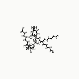 CCCCCCCC(CCCCCC)N1C[C@@H](COP(=O)(C(C)CCCCCCC)N(C)C)O[C@@H](n2ccc(N)nc2=O)C1